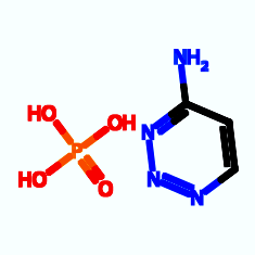 Nc1ccnnn1.O=P(O)(O)O